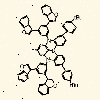 CC1=CC2=C3B(c4ccc(-c5ccc(C(C)(C)C)cc5)cc4N2c2cc(-c4coc5ccccc45)cc(-c4coc5ccccc45)c2)c2ccc(-c4ccc(C(C)(C)C)cc4)cc2N(c2cc(-c4coc5ccccc45)cc(C4COc5ccccc54)c2)C3C1